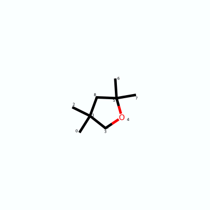 CC1(C)[CH]OC(C)(C)C1